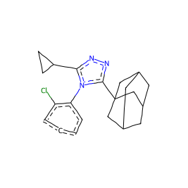 Clc1ccccc1-n1c(C2CC2)nnc1C12CC3CC(CC(C3)C1)C2